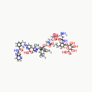 Cc1c(-c2ccc(N3CCc4cccc(C(=O)Nc5nc6cccnc6s5)c4C3)nc2C(=O)O)cnn1CC12CC3(C)CC(C)(C1)CC(OCCN(CCCP(=O)(O)O)C(=O)OC/C=C/c1ccc(O[C@@H]4O[C@H](C(=O)O)[C@@H](O)[C@H](O)[C@H]4O)c(NC(=O)CCN)c1)(C3)C2